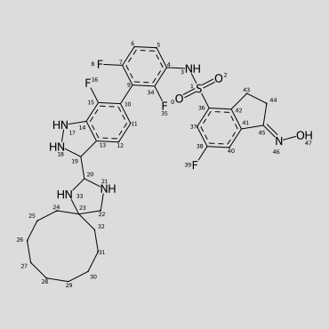 O=S(=O)(Nc1ccc(F)c(-c2ccc3c(c2F)NNC3C2NCC3(CCCCCCCCC3)N2)c1F)c1cc(F)cc2c1CC/C2=N\O